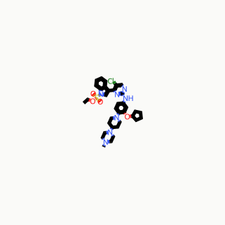 CCOS(=O)(=O)n1cc(-c2nc(Nc3ccc(N4CCC(N5CCN(C)CC5)CC4)c(OC4CCCC4)c3)ncc2Cl)c2ccccc21